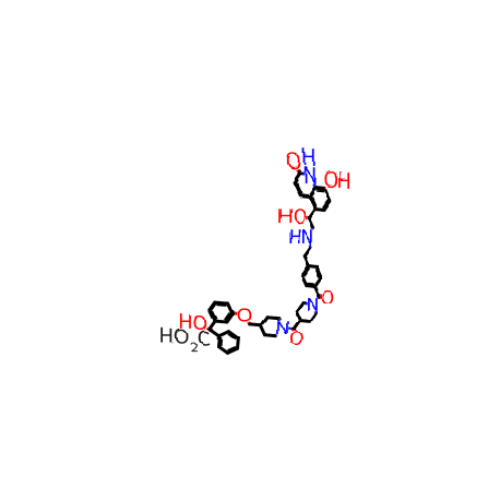 O=C(c1ccc(CCNCC(O)c2ccc(O)c3[nH]c(=O)ccc23)cc1)N1CCC(C(=O)N2CCC(COc3cccc(C(O)(C(=O)O)c4ccccc4)c3)CC2)CC1